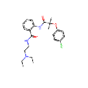 CCN(CC)CCNC(=O)c1ccccc1NC(=O)C(C)(C)Oc1ccc(Cl)cc1